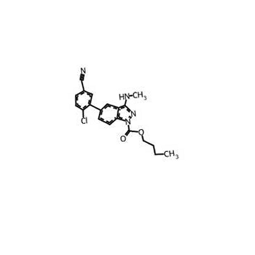 CCCCOC(=O)n1nc(NC)c2cc(-c3cc(C#N)ccc3Cl)ccc21